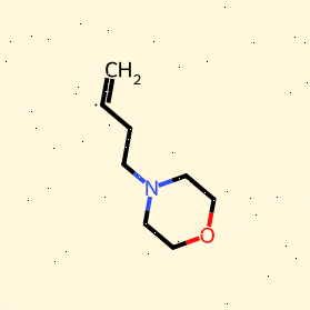 C=[C]CCN1CCOCC1